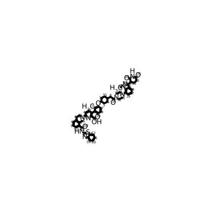 Cc1c(OC2CCC(CC(=O)N3CCN(c4cccc5c(C6CCC(=O)NC6=O)nn(C)c45)CC3)CC2)cccc1-c1ccc(N2CCc3cccc(C(=O)Nc4nc5ccccc5s4)c3C2)nc1C(=O)O